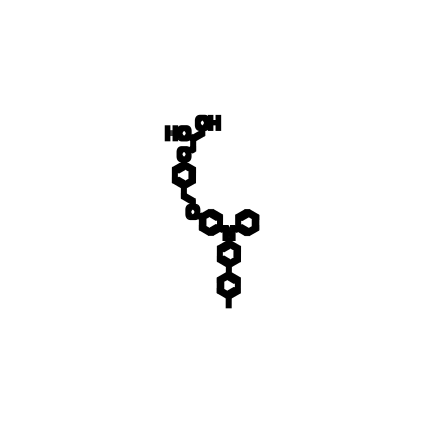 Cc1ccc(-c2ccc(N(c3ccccc3)c3ccc(OCCc4ccc(OCC(O)CO)cc4)cc3)cc2)cc1